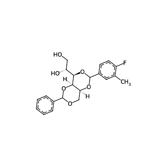 Cc1cc(C2O[C@H]([C@H](O)CO)[C@@H]3OC(c4ccccc4)OC[C@@H]3O2)ccc1F